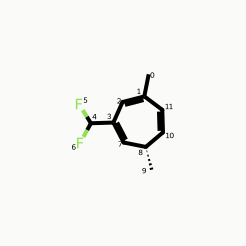 CC1=CC(C(F)F)=C[C@@H](C)C=C1